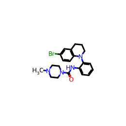 CN1CCN(C(=O)Nc2ccccc2N2CCCc3cc(Br)ccc32)CC1